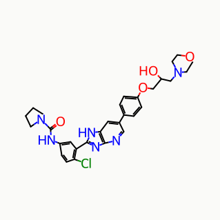 O=C(Nc1ccc(Cl)c(-c2nc3ncc(-c4ccc(OCC(O)CN5CCOCC5)cc4)cc3[nH]2)c1)N1CCCC1